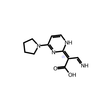 N=C/C(C(=O)O)=C1/N=C(N2CCCC2)C=CN1